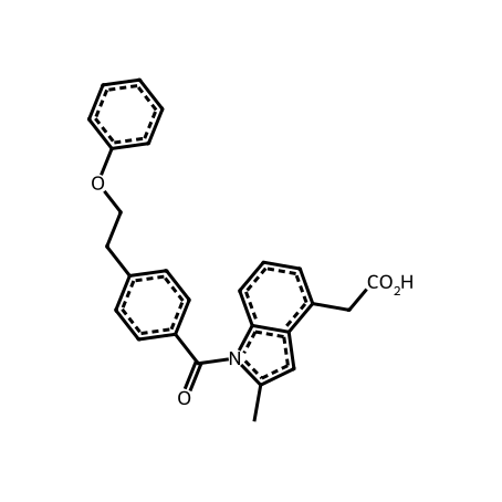 Cc1cc2c(CC(=O)O)cccc2n1C(=O)c1ccc(CCOc2ccccc2)cc1